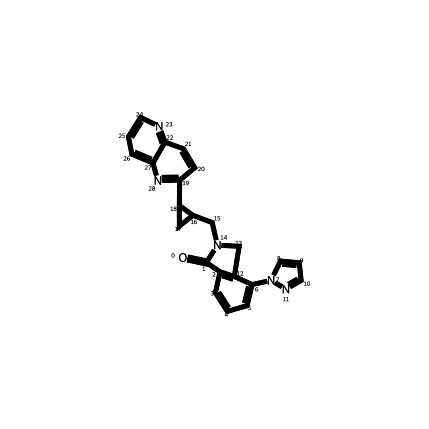 O=C1c2cccc(-n3cccn3)c2CN1CC1CC1c1ccc2ncccc2n1